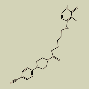 Cc1c(NCCCCCC(=O)N2CCN(c3ccc(C#N)cn3)CC2)cn[nH]c1=O